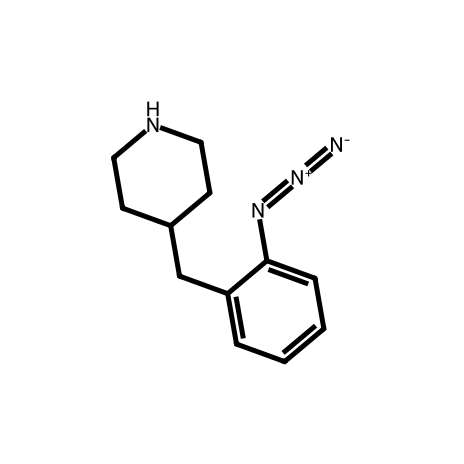 [N-]=[N+]=Nc1ccccc1CC1CCNCC1